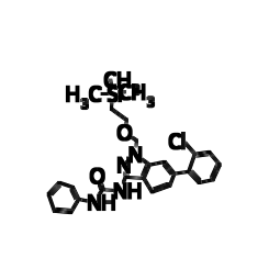 C[Si](C)(C)CCOCn1nc(NC(=O)Nc2ccccc2)c2ccc(-c3ccccc3Cl)cc21